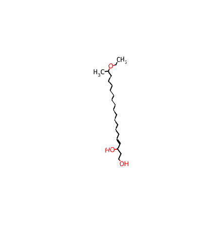 CCOC(C)CCCCCCCCCCCCCC=CC(O)CCO